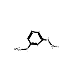 CCCCCCCCCOc1cccc(OCCCCCCCCC)c1